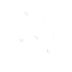 CC(O)=C(C#N)C(=O)Nc1nc(C)cs1